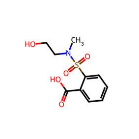 CN(CCO)S(=O)(=O)c1ccccc1C(=O)O